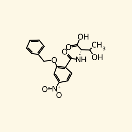 C[C@@H](O)[C@H](NC(=O)c1ccc([N+](=O)[O-])cc1OCc1ccccc1)C(=O)O